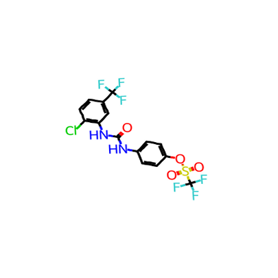 O=C(Nc1ccc(OS(=O)(=O)C(F)(F)F)cc1)Nc1cc(C(F)(F)F)ccc1Cl